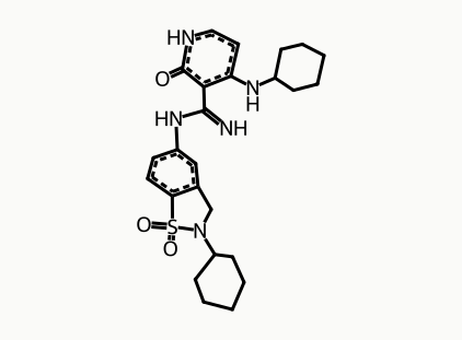 N=C(Nc1ccc2c(c1)CN(C1CCCCC1)S2(=O)=O)c1c(NC2CCCCC2)cc[nH]c1=O